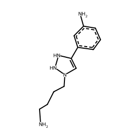 NCCCCN1C=C(c2cccc(N)c2)NN1